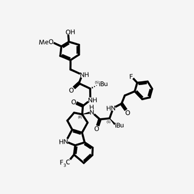 CCC(C)[C@H](NC(=O)Cc1ccccc1F)C(=O)N[C@]1(C(=O)NC(C(=O)NCc2ccc(O)c(OC)c2)[C@@H](C)CC)CCc2[nH]c3c(C(F)(F)F)cccc3c2C1